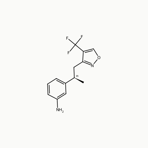 C[C@H](Cc1nocc1C(F)(F)F)c1cccc(N)c1